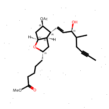 CC#CCC(C)[C@H](O)C=C[C@@H]1[C@H]2C[C@H](CCCCC(=O)OC)O[C@H]2C[C@H]1OC(C)=O